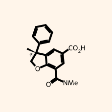 CNC(=O)c1cc(C(=O)O)cc2c1OC[C@]2(C)c1ccccc1